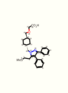 CSCCc1c(-c2ccccc2)c(-c2ccccc2)nn1C[C@H]1CC[C@H](COCC(=O)O)CC1